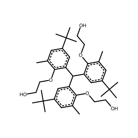 Cc1cc(C(C)(C)C)cc(C(c2cc(C(C)(C)C)cc(C)c2OCCO)c2cc(C(C)(C)C)cc(C)c2OCCO)c1OCCO